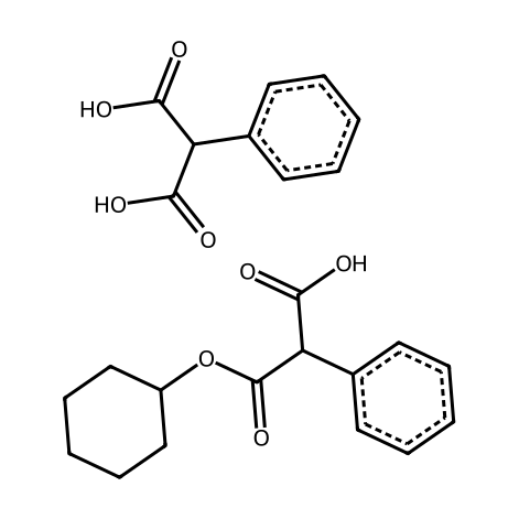 O=C(O)C(C(=O)O)c1ccccc1.O=C(O)C(C(=O)OC1CCCCC1)c1ccccc1